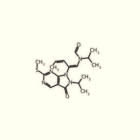 C/C=C\C(=C/N(C=O)C(C)C)n1c2nc(SC)ncc2c(=O)n1C(C)C